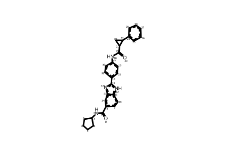 O=C(NC1CCCC1)c1ccc2[nH]c(-c3ccc(NC(=O)C4CC4c4ccccc4)cc3)nc2c1